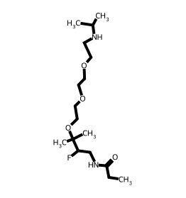 CCC(=O)NCC(F)C(C)(C)OCCOCCOCCNC(C)C